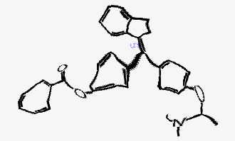 CC(Oc1ccc(/C(=C2\CCc3ccccc32)c2ccc(OC(=O)c3ccccc3)cc2)cc1)N(C)C